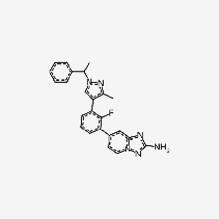 Cc1nn(C(C)c2ccccc2)cc1-c1cccc(-c2ccn3nc(N)nc3c2)c1F